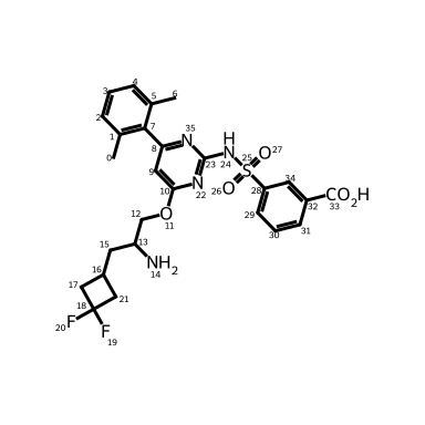 Cc1cccc(C)c1-c1cc(OCC(N)CC2CC(F)(F)C2)nc(NS(=O)(=O)c2cccc(C(=O)O)c2)n1